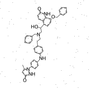 Cc1cc(=O)[nH]n1-c1ccc(Nc2ccc(CCN(Cc3ccccc3)CC(O)c3ccc(OCc4ccccc4)c4[nH]c(=O)ccc34)cc2)cc1